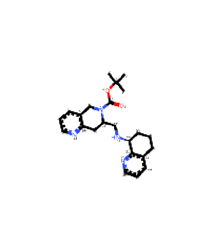 CC(C)(C)OC(=O)N1Cc2cccnc2CC1CN[C@H]1CCCc2cccnc21